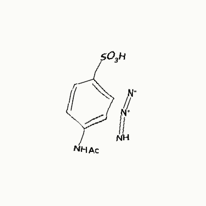 CC(=O)Nc1ccc(S(=O)(=O)O)cc1.[N-]=[N+]=N